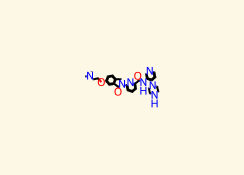 CN(C)CCOc1ccc2c(c1)C(=O)N(c1cccc(C(=O)Nc3cnccc3N3CCNCC3)n1)C2